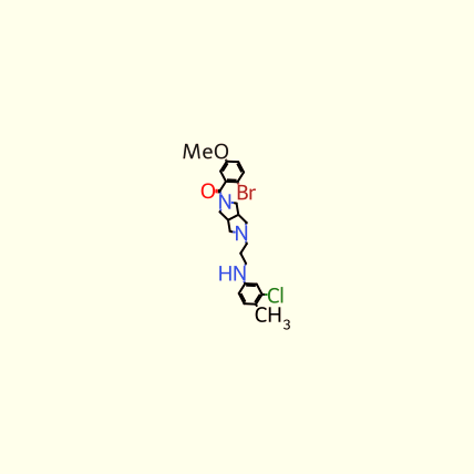 COc1ccc(Br)c(C(=O)N2CC3CN(CCCNc4ccc(C)c(Cl)c4)CC3C2)c1